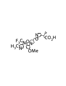 COc1ccc(C(=O)N(CC(F)(F)F)c2ccnc(C)c2)c(N2CCC(COc3cc(C(CC(=O)O)C4CC4)ccn3)CC2)c1